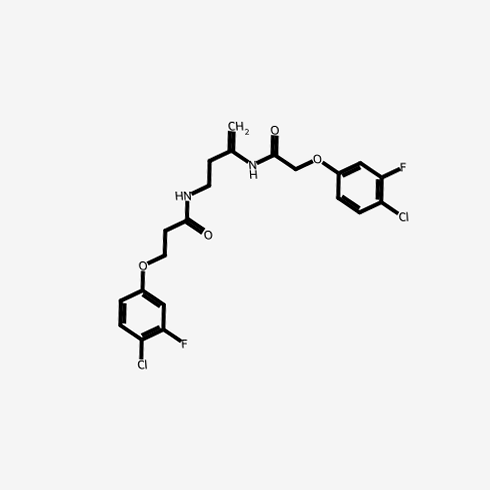 C=C(CCNC(=O)CCOc1ccc(Cl)c(F)c1)NC(=O)COc1ccc(Cl)c(F)c1